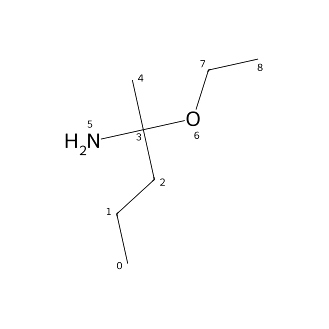 CCCC(C)(N)OCC